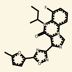 CCC(C)n1c(=O)c2c(-c3noc(-c4ccc(C)o4)n3)ncn2c2cccc(F)c21